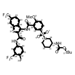 COc1ccc(S(=O)(=O)N2CCC[C@@H](NC(=O)OC(C)(C)C)C2)cc1C(=O)Nc1c(C(=O)Nc2ccc(F)c(C(F)(F)F)c2)sc2cc(C(F)(F)F)ccc12